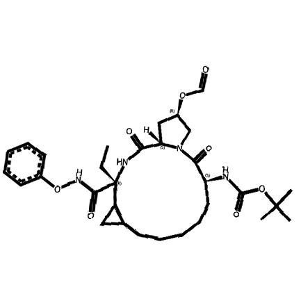 CC[C@@]1(C(=O)NOc2ccccc2)NC(=O)[C@@H]2C[C@@H](OC=O)CN2C(=O)[C@@H](NC(=O)OC(C)(C)C)CCCCCC2CC21